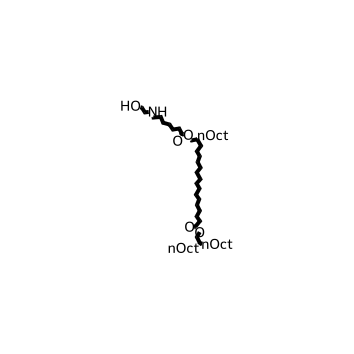 CCCCCCCCC(CCCCCCCC)COC(=O)CCCCCCCCCCCCCCCC(CCCCCCCC)COC(=O)CCCCCCNCCO